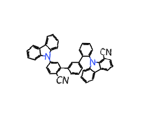 N#Cc1ccc(-n2c3ccccc3c3ccccc32)cc1-c1cccc(-c2ccccc2-n2c3ccccc3c3cccc(C#N)c32)c1